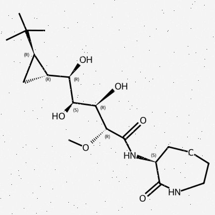 CO[C@@H](C(=O)N[C@H]1CCCCNC1=O)[C@H](O)[C@@H](O)[C@H](O)[C@@H]1C[C@H]1C(C)(C)C